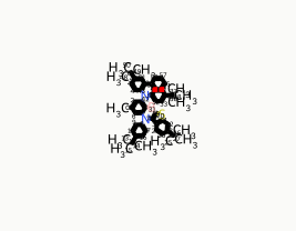 Cc1cc2c3c(c1)N(c1ccc(C(C)(C)C)cc1)c1c(sc4cc(C(C)(C)C)ccc14)B3c1cc(C(C)(C)C)ccc1N2c1ccc(C(C)(C)C)cc1-c1ccccc1